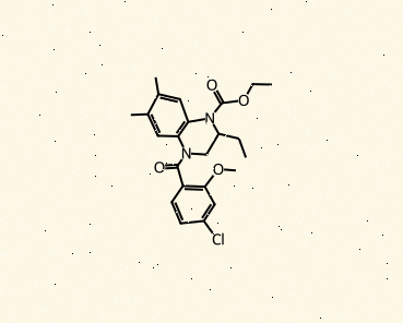 CCOC(=O)N1c2cc(C)c(C)cc2N(C(=O)c2ccc(Cl)cc2OC)CC1CC